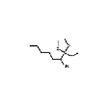 CCCCCC(N)[Si](OC)(OC)OC